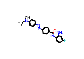 CN(C)c1ccc(/N=N/c2ccc(C(=O)Nc3ccc(F)cc3N)cc2)cc1